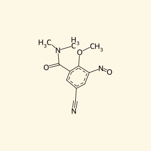 COc1c(N=O)cc(C#N)cc1C(=O)N(C)C